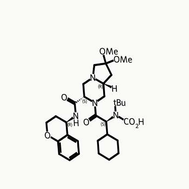 COC1(OC)C[C@@H]2CN(C(=O)[C@H](C3CCCCC3)N(C(=O)O)C(C)(C)C)[C@H](C(=O)N[C@@H]3CCOc4ccccc43)CN2C1